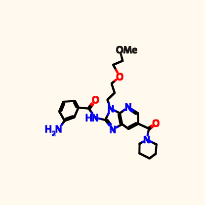 COCCOCCCn1c(NC(=O)c2cccc(N)c2)nc2cc(C(=O)N3CCCCC3)cnc21